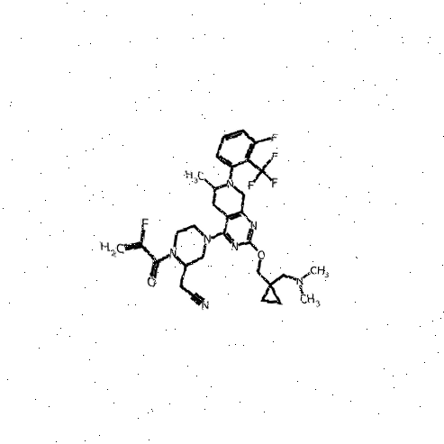 C=C(F)C(=O)N1CCN(c2nc(OCC3(CN(C)C)CC3)nc3c2CC(C)N(c2cccc(F)c2C(F)(F)F)C3)CC1CC#N